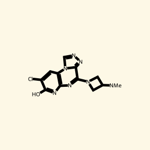 CNC1CN(c2nc3nc(O)c(Cl)cc3n3cnnc23)C1